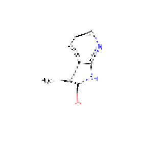 CC1C(=O)Nc2ncccc21